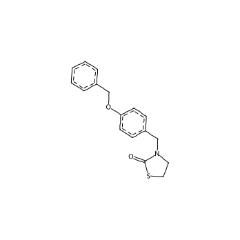 O=C1SCCN1Cc1ccc(OCc2ccccc2)cc1